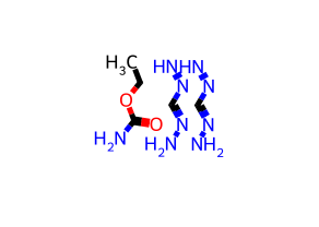 CCOC(N)=O.N=NC=NN.N=NC=NN